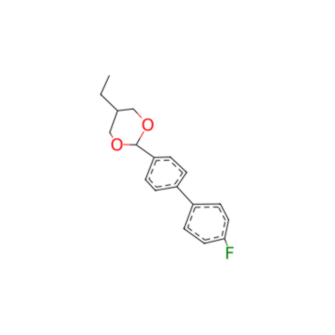 CCC1COC(c2ccc(-c3ccc(F)cc3)cc2)OC1